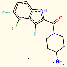 NC1CCN(C(=O)c2[nH]c3ccc(F)c(Cl)c3c2F)CC1